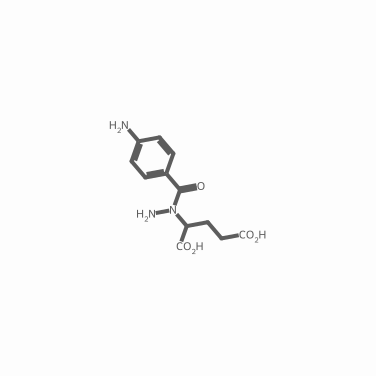 Nc1ccc(C(=O)N(N)C(CCC(=O)O)C(=O)O)cc1